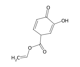 C=COC(=O)C1C=CC(=O)C(O)=C1